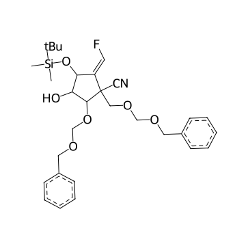 CC(C)(C)[Si](C)(C)OC1/C(=C\F)C(C#N)(COCOCc2ccccc2)C(OCOCc2ccccc2)C1O